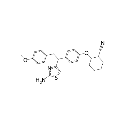 COc1ccc(CC(c2ccc(OC3CCCCC3C#N)cc2)c2csc(N)n2)cc1